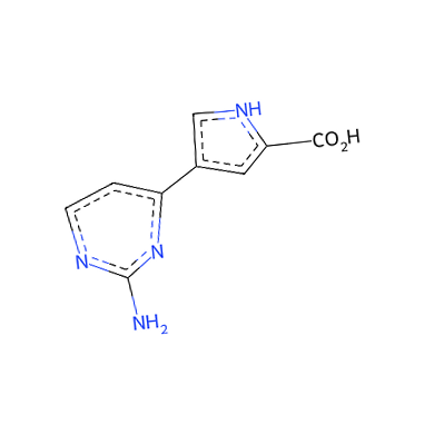 Nc1nccc(-c2c[nH]c(C(=O)O)c2)n1